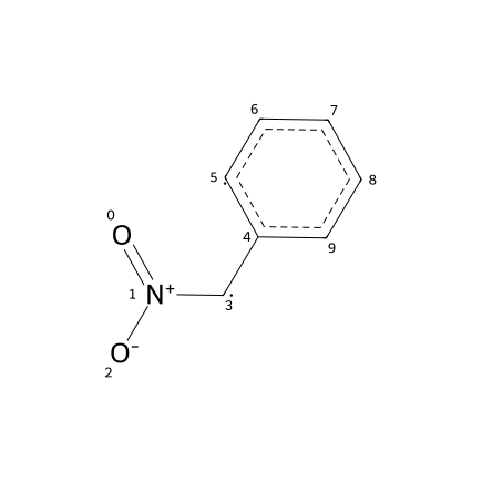 O=[N+]([O-])[CH]c1[c]cccc1